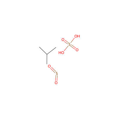 CC(C)C.O=S(=O)(O)O.O=S=O